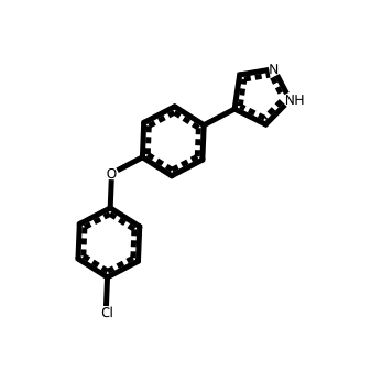 Clc1ccc(Oc2ccc(-c3cn[nH]c3)cc2)cc1